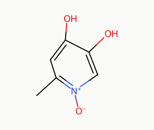 Cc1cc(O)c(O)c[n+]1[O-]